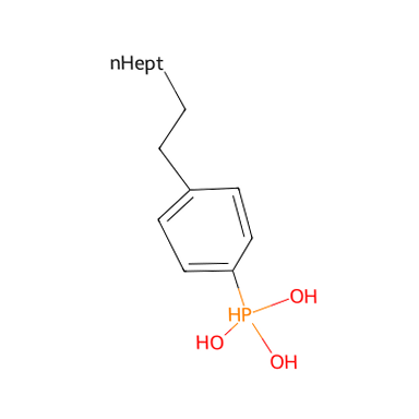 CCCCCCCCCc1ccc([PH](O)(O)O)cc1